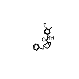 Cc1cc(NC(=O)C23CC2CN(Cc2ccccc2)C3)ccc1F